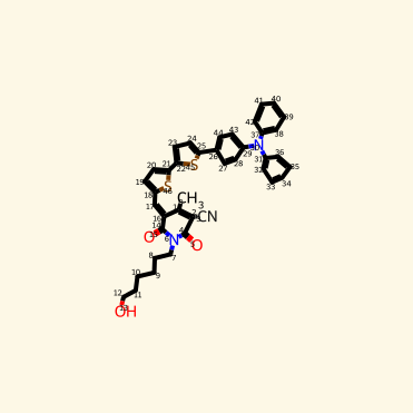 CC1=C(C#N)C(=O)N(CCCCCCO)C(=O)C1=Cc1ccc(-c2ccc(-c3ccc(N(c4ccccc4)c4ccccc4)cc3)s2)s1